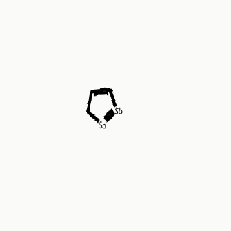 [C]1=C[CH2][Sb]=[Sb]1